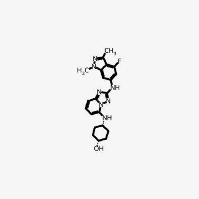 Cc1nn(C)c2cc(Nc3nc4cccc(N[C@H]5CC[C@@H](O)CC5)n4n3)cc(F)c12